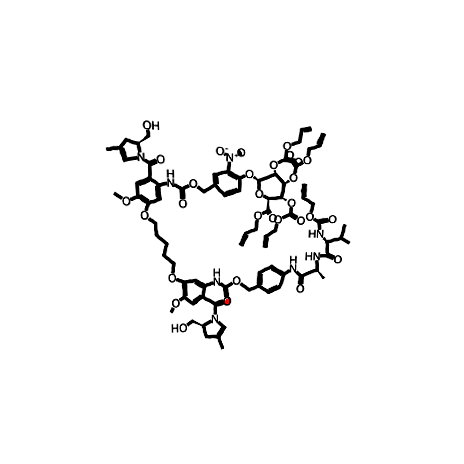 C=CCOC(=O)N[C@H](C(=O)N[C@@H](C)C(=O)Nc1ccc(COC(=O)Nc2cc(OCCCCCOc3cc(NC(=O)OCc4ccc(O[C@@H]5O[C@H](C(=O)OCC=C)[C@@H](OC(=O)OCC=C)[C@H](OC(=O)OCC=C)[C@H]5OC(=O)OCC=C)c([N+](=O)[O-])c4)c(C(=O)N4C=C(C)C[C@H]4CO)cc3OC)c(OC)cc2C(=O)N2C=C(C)C[C@H]2CO)cc1)C(C)C